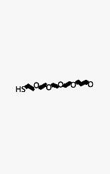 O=CCCOCCOCCOCCOCCS